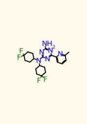 Cc1cccc(-c2nc(N)nc(N(C3CCC(F)(F)CC3)C3CCC(F)(F)CC3)n2)n1